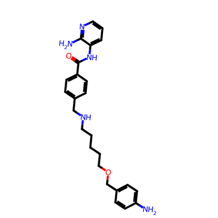 Nc1ccc(COCCCCCNCc2ccc(C(=O)Nc3cccnc3N)cc2)cc1